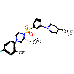 CCOC(=O)C1CCN(c2cccc(S(=O)(=O)N3CCN(c4ccc(F)cc4C(F)(F)F)C[C@H]3C)c2)CC1